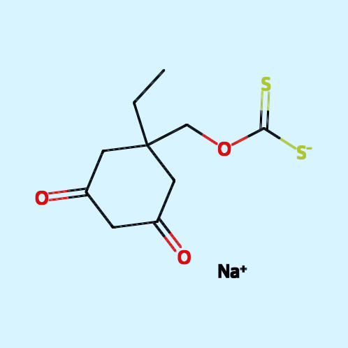 CCC1(COC(=S)[S-])CC(=O)CC(=O)C1.[Na+]